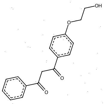 O=C(CC(=O)c1ccc(OCCO)cc1)c1ccccc1